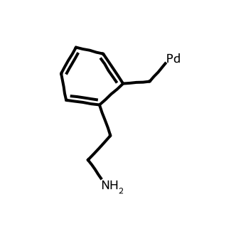 NCCc1ccccc1[CH2][Pd]